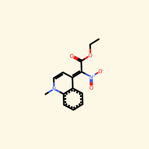 CCOC(=O)C(=C1C=CN(C)c2ccccc21)[N+](=O)[O-]